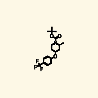 C[C@H]1C[C@@H](Oc2ccc(C(F)(F)F)cc2)CCN1C(=O)OC(C)(C)C